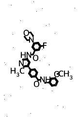 COc1cccc(CNC(=O)c2ccc(-c3cc(NC(=O)c4cc(F)cc(N5CCOCC5)c4)cnc3C)cc2)c1